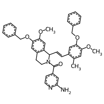 COc1cc(C)c(C=CC2c3cc(OC)c(OCc4ccccc4)cc3CCN2C(=O)c2ccnc(N)c2)cc1OCc1ccccc1